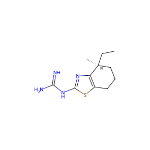 CC[C@@]1(C)CCCc2sc(NC(=N)N)nc21